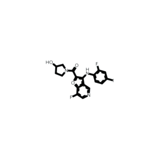 O=C(c1oc2c(F)cncc2c1Nc1ccc(I)cc1F)N1CCC(O)C1